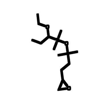 CCOC(CC)[Si](C)(C)OC(C)(C)CCC1CO1